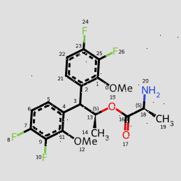 COc1c(C(c2ccc(F)c(F)c2OC)[C@H](C)OC(=O)[C@H](C)N)ccc(F)c1F